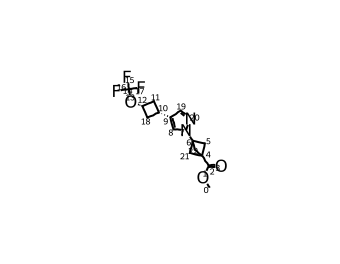 COC(=O)C12CC(n3cc([C@H]4C[C@@H](OC(F)(F)F)C4)cn3)(C1)C2